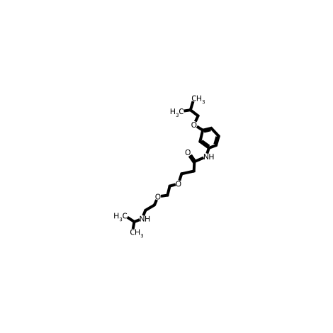 CC(C)COc1cccc(NC(=O)CCOCCOCCNC(C)C)c1